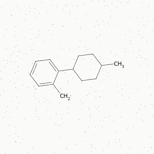 [CH2]c1ccccc1C1CCC(C)CC1